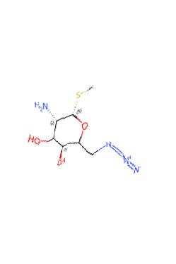 CS[C@@H]1OC(CN=[N+]=[N-])[C@@H](O)C(O)[C@@H]1N